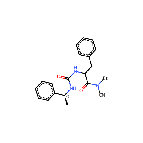 CCN(C#N)C(=O)C(Cc1ccccc1)NC(=O)N[C@@H](C)c1ccccc1